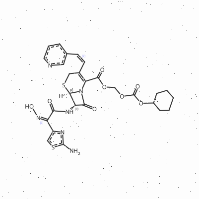 Nc1nc(/C(=N/O)C(=O)N[C@@H]2C(=O)N3C(C(=O)OCOC(=O)OC4CCCCC4)=C(/C=C\c4cccnc4)CS[C@H]23)cs1